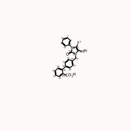 CCCc1c(F)n(-c2ccccc2)c(=O)n1Cc1ccc(-c2ccccc2C(=O)O)cc1